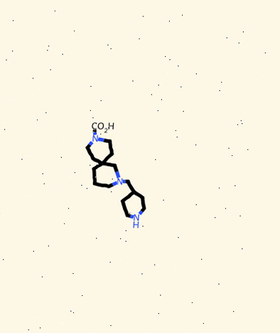 O=C(O)N1CCC2(CCCN(CC3CCNCC3)C2)CC1